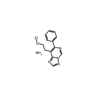 CCOCCc1c(-c2ccccc2)ncn2ncnc12.N